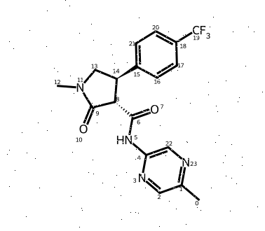 Cc1cnc(NC(=O)[C@@H]2C(=O)N(C)C[C@H]2c2ccc(C(F)(F)F)cc2)cn1